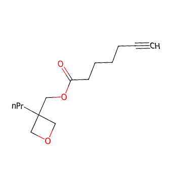 C#CCCCCC(=O)OCC1(CCC)COC1